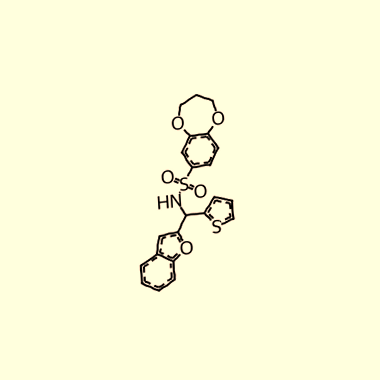 O=S(=O)(NC(c1cc2ccccc2o1)c1cccs1)c1ccc2c(c1)OCCCO2